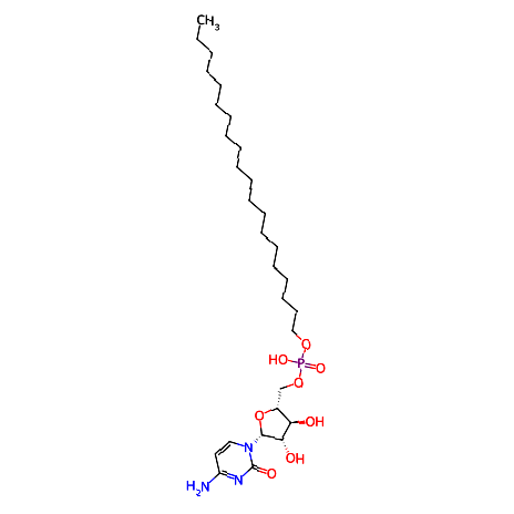 CCCCCCCCCCCCCCCCCCCCOP(=O)(O)OC[C@H]1O[C@@H](n2ccc(N)nc2=O)[C@@H](O)[C@@H]1O